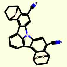 N#Cc1cc2c(c3c1C1CCC3CC1)c1cccc3c4c5c(c(C#N)cc4n2c13)C1CCC5CC1